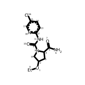 CCOC1CC(C(N)=O)N(C(=O)Nc2ccc(Cl)cn2)C1